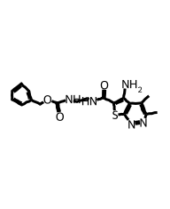 Cc1nnc2sc(C(=O)NCCNC(=O)OCc3ccccc3)c(N)c2c1C